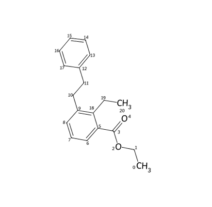 CCOC(=O)c1cccc(CCc2ccccc2)c1CC